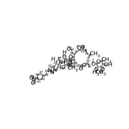 COC1C(OC[C@H]2/C=C(C)/C=C/C(=O)[C@H](C)C[C@H](CC=O)[C@H](OC3OC(C)C(O)C(N(C)CCc4cn(CCc5ccc([N+](=O)[O-])cc5)nn4)C3O)[C@@H](C)[C@H](O)CC(=O)O[C@@H]2I)OC(C)C(O)C1OC